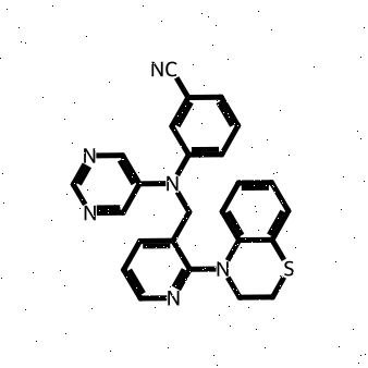 N#Cc1cccc(N(Cc2cccnc2N2CCSc3ccccc32)c2cncnc2)c1